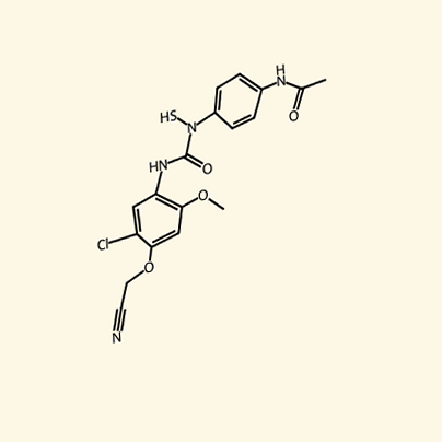 COc1cc(OCC#N)c(Cl)cc1NC(=O)N(S)c1ccc(NC(C)=O)cc1